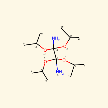 CC(C)OC(N)(OC(C)C)C(N)(OC(C)C)OC(C)C